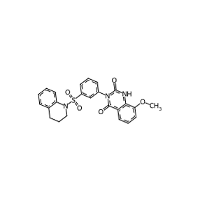 COc1cccc2c(=O)n(-c3cccc(S(=O)(=O)N4CCCc5ccccc54)c3)c(=O)[nH]c12